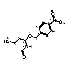 O=CNC(CCS)OCc1ccc([N+](=O)[O-])cc1